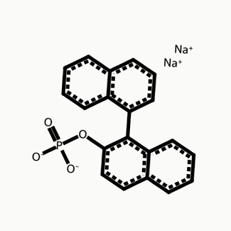 O=P([O-])([O-])Oc1ccc2ccccc2c1-c1cccc2ccccc12.[Na+].[Na+]